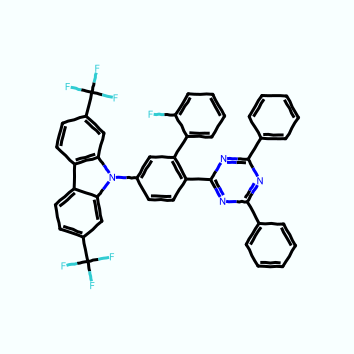 Fc1ccccc1-c1cc(-n2c3cc(C(F)(F)F)ccc3c3ccc(C(F)(F)F)cc32)ccc1-c1nc(-c2ccccc2)nc(-c2ccccc2)n1